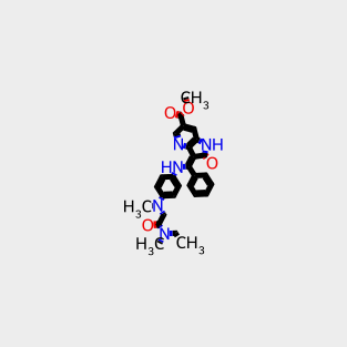 CCN(C)C(=O)CN(C)c1ccc(N/C(=C2/C(=O)Nc3cc(C(=O)OC)cnc32)c2ccccc2)cc1